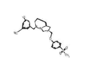 CS(=O)(=O)c1ccc(OC[C@@H]2CC3CCC[C@H](Cc4cc(Cl)cc(C#N)c4)N3C2)cc1